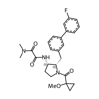 COC1(C(=O)N2CC[C@H](NC(=O)C(=O)N(C)C)[C@@H]2Cc2cccc(-c3cccc(F)c3)c2)CC1